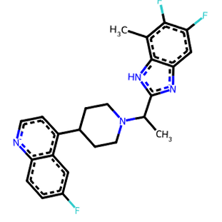 Cc1c(F)c(F)cc2nc(C(C)N3CCC(c4ccnc5ccc(F)cc45)CC3)[nH]c12